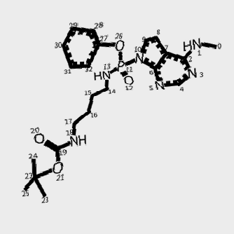 CNc1ncnc2c1ccn2P(=O)(NCCCCNC(=O)OC(C)(C)C)Oc1ccccc1